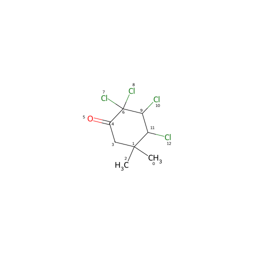 CC1(C)CC(=O)C(Cl)(Cl)C(Cl)C1Cl